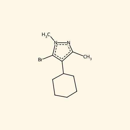 Cc1nn(C)c(Br)c1C1CCCCC1